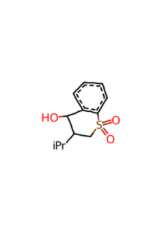 CC(C)C1CS(=O)(=O)c2ccccc2C1O